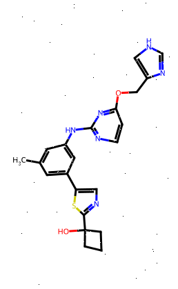 Cc1cc(Nc2nccc(OCc3c[nH]cn3)n2)cc(-c2cnc(C3(O)CCC3)s2)c1